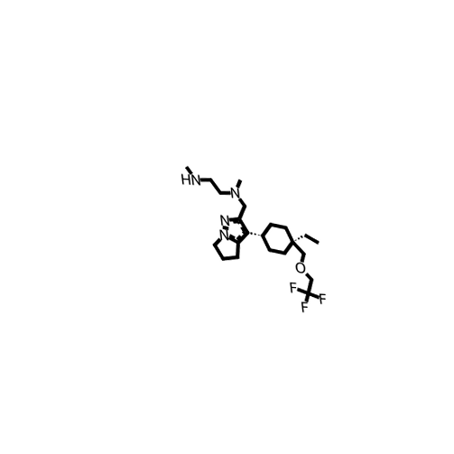 CC[C@]1(COCC(F)(F)F)CC[C@H](c2c(CN(C)CCNC)nn3c2CCC3)CC1